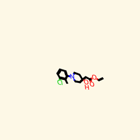 CCOC(=O)CC1(O)CCN(c2cccc(Cl)c2C)CC1